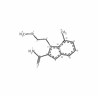 COCCn1c(C(N)=O)cc2cccc(C)c21